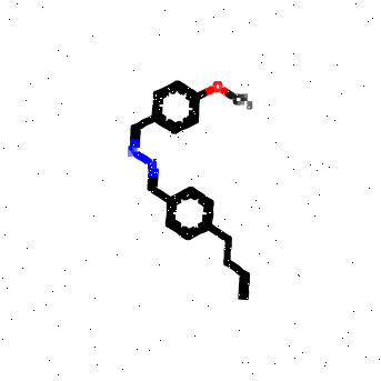 C=CCCc1ccc(/C=N/N=C\c2ccc(OC(F)(F)F)cc2)cc1